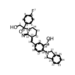 OCC1(c2ccc(F)cc2)ON=C2/C(=C/c3ccc(N4Cc5ccccc5C4)c(SO)c3)CCCN21